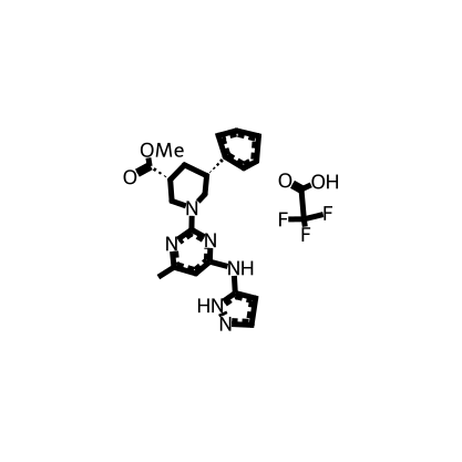 COC(=O)[C@@H]1C[C@H](c2ccccc2)CN(c2nc(C)cc(Nc3ccn[nH]3)n2)C1.O=C(O)C(F)(F)F